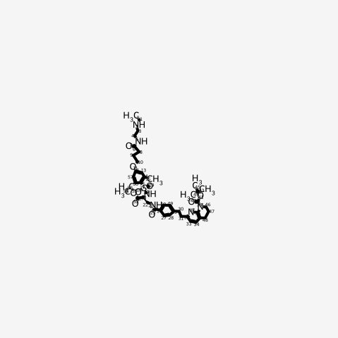 CCNCCNC(=O)CCCOc1cc(C)c(S(=O)(=O)N[C@@H](CNC(=O)c2ccc(CCc3ccc4c(n3)N(C(=O)OC(C)(C)C)CCC4)cc2)C(=O)OC)c(C)c1